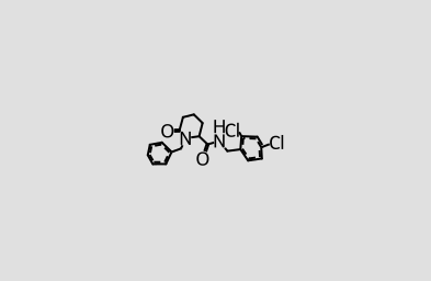 O=C(NCc1ccc(Cl)cc1Cl)C1CCCC(=O)N1Cc1ccccc1